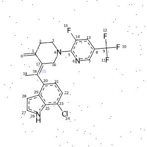 C=C1CCN(c2ncc(C(F)(F)F)cc2F)C/C1=C(/C)c1ccc(Cl)c2[nH]ccc12